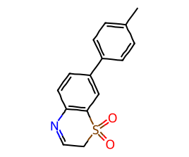 Cc1ccc(-c2ccc3c(c2)S(=O)(=O)CC=N3)cc1